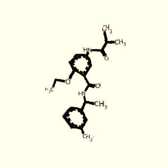 [CH2]c1cccc(C(C)NC(=O)c2cc(NC(=O)C(C)C)ccc2OCC)c1